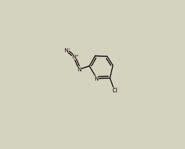 [N-]=[N+]=Nc1cccc(Cl)n1